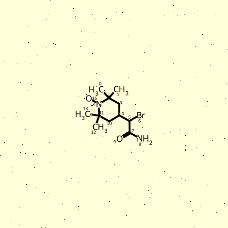 CC1(C)CC(C(Br)C(N)=O)CC(C)(C)N1[O]